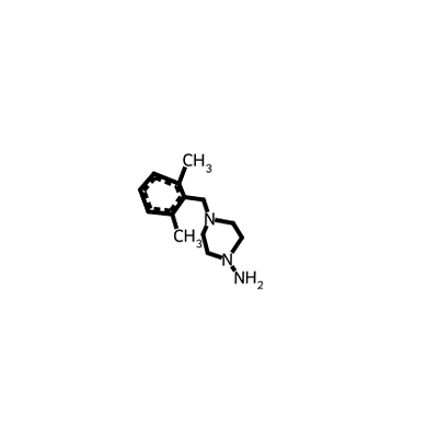 Cc1cccc(C)c1CN1CCN(N)CC1